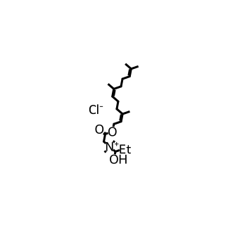 CCC(O)[N+](C)(C)CC(=O)OCC=C(C)CCC=C(C)CCC=C(C)C.[Cl-]